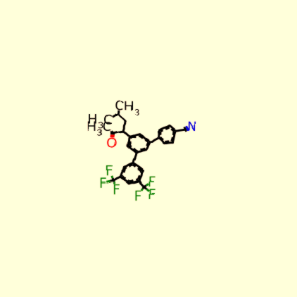 CC(=O)C(CC(C)C)c1cc(-c2ccc(C#N)cc2)cc(-c2cc(C(F)(F)F)cc(C(F)(F)F)c2)c1